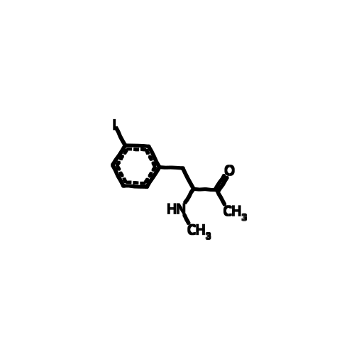 CNC(Cc1cccc(I)c1)C(C)=O